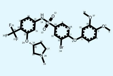 COc1ccc(Oc2ncc(S(=O)(=O)Nc3ccc(C(F)(F)F)c(O[C@@H]4CCN(C)C4)c3)cc2Br)cc1OC